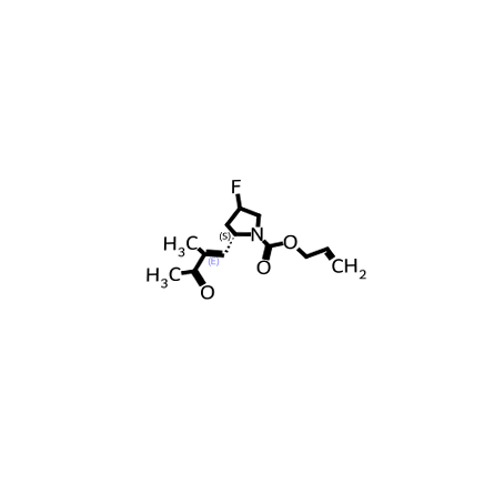 C=CCOC(=O)N1CC(F)C[C@H]1/C=C(\C)C(C)=O